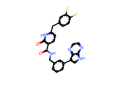 O=C(NCc1cccc(-c2c[nH]c3nccnc23)c1)c1ccc(Cc2ccc(F)c(F)c2)[nH]c1=O